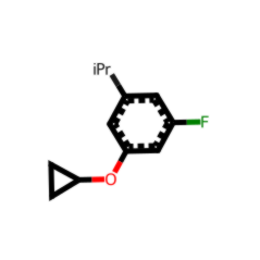 CC(C)c1cc(F)cc(OC2CC2)c1